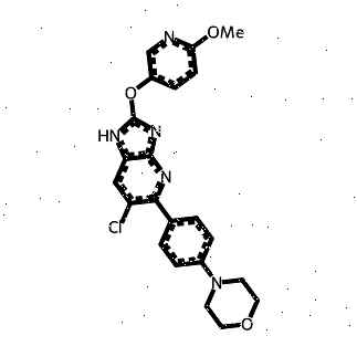 COc1ccc(Oc2nc3nc(-c4ccc(N5CCOCC5)cc4)c(Cl)cc3[nH]2)cn1